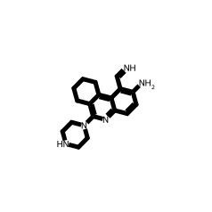 N=Cc1c(N)ccc2nc(N3CCNCC3)c3c(c12)CCCC3